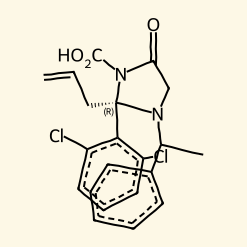 C=CC[C@]1(c2c(Cl)cccc2Cl)N(C(=O)O)C(=O)CN1C(C)c1ccccc1